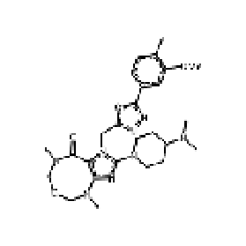 COc1cc(-c2nnc(Cn3c(N4CCC(N(C)C)CC4)nc4c3C(=O)N(C)COCN4C)o2)ccc1C